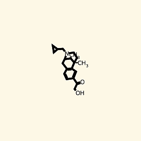 CC1C2Cc3ccc(C(=O)CO)cc3[C@@]1(C)CCN2CC1CC1